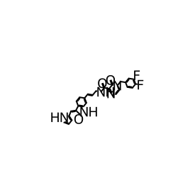 O=C1Nc2cc(C=CCNC(=O)c3nccn(Cc4ccc(F)c(F)c4)c3=O)ccc2C1=Cc1ccc[nH]1